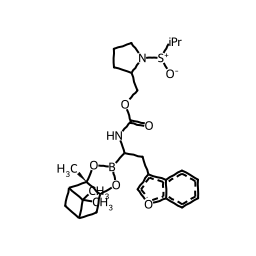 CC(C)[S+]([O-])N1CCCC1COC(=O)NC(Cc1coc2ccccc12)B1OC2CC3CC(C3(C)C)[C@]2(C)O1